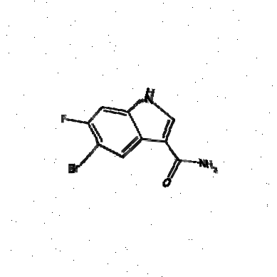 NC(=O)c1c[nH]c2cc(F)c(Br)cc12